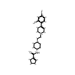 O=C(N[C@H]1CC[C@H](CCN2CC=C(c3ccc(F)cc3F)CC2)CC1)C1=CCCC1